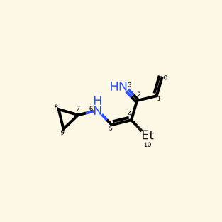 C=CC(=N)/C(=C\NC1CC1)CC